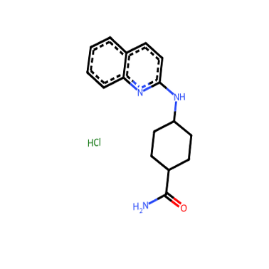 Cl.NC(=O)C1CCC(Nc2ccc3ccccc3n2)CC1